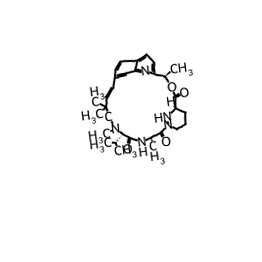 CC(C)[C@H]1C(=O)N[C@@H](C)C(=O)N2CCC[C@H](N2)C(=O)O[C@H](C)c2ccc3ccc(cc3n2)/C=C/C(C)(C)CN1C